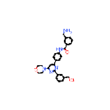 NCc1cccc(C(=O)Nc2ccc(-c3cc(N4CCOCC4)nc(-c4cccc(CO)c4)n3)cc2)c1